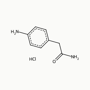 Cl.NC(=O)Cc1ccc(N)cc1